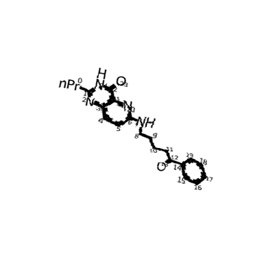 CCCc1nc2ccc(NCCCCC(=O)c3ccccc3)nc2c(=O)[nH]1